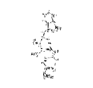 COc1ccc(NC2=C(C(=O)O)C(=O)/C(=C/c3c[nH]c4ncccc34)O2)cc1